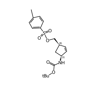 Cc1ccc(S(=O)(=O)OC[C@H]2C=C[C@@H](NC(=O)OC(C)(C)C)C2)cc1